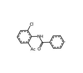 CC(=O)c1cccc(Cl)c1NC(=O)c1cc[c]cc1